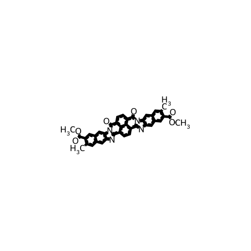 COC(=O)c1cc2cc3c(cc2cc1C)nc1c2ccc4c5c(ccc(c(=O)n31)c25)c(=O)n1c2cc3cc(C)c(C(=O)OC)cc3cc2nc41